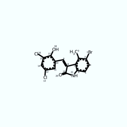 Cc1c(Br)ccc2c1C(=Cc1cc(Cl)cc(Cl)c1O)C(=O)N2